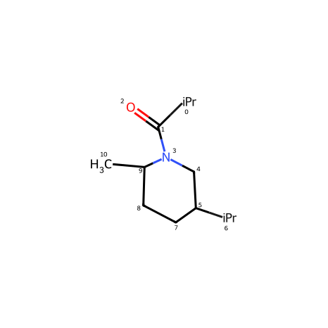 CC(C)C(=O)N1CC(C(C)C)CCC1C